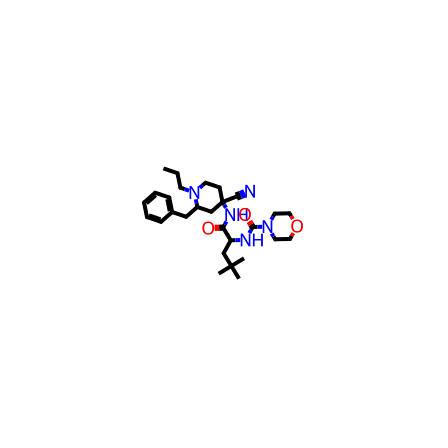 CCCN1CCC(C#N)(NC(=O)C(CC(C)(C)C)NC(=O)N2CCOCC2)CC1Cc1ccccc1